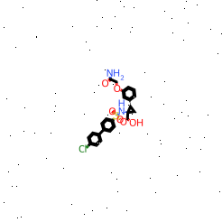 NC(=O)COc1cccc([C@@H]2C[C@]2(NS(=O)(=O)c2ccc(-c3ccc(Cl)cc3)cc2)C(=O)O)c1